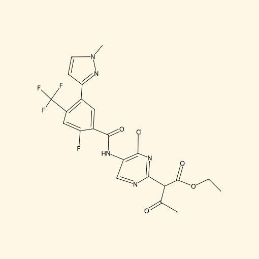 CCOC(=O)C(C(C)=O)c1ncc(NC(=O)c2cc(-c3ccn(C)n3)c(C(F)(F)F)cc2F)c(Cl)n1